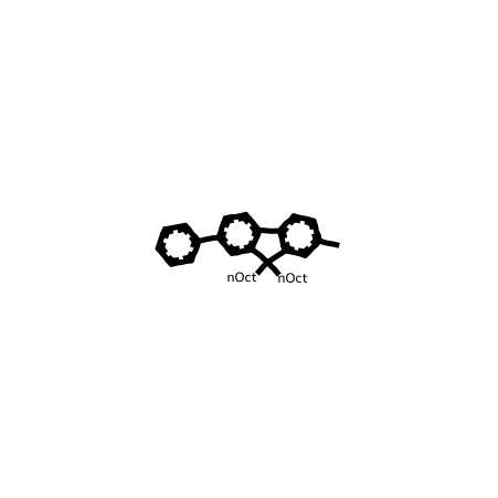 CCCCCCCCC1(CCCCCCCC)c2cc(C)ccc2-c2ccc(-c3ccccc3)cc21